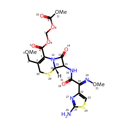 COCC1=C(C(=O)OCOC(=O)OC)N2C(=O)C(NC(=O)C(=NOC)c3csc(N)n3)[C@@H]2SC1